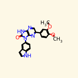 COc1ccc(-c2cnc3[nH]c(=O)n(-c4ccc5[nH]ccc5c4)c3n2)cc1OC